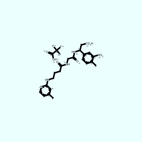 Cc1ccnc(NCCCC(=O)NCC(=O)NC(CC(=O)O)c2ccc(C)c([N+](=O)[O-])c2)c1.O=C(O)C(F)(F)F